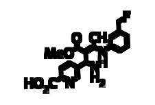 COC(=O)/C(=C(\C)Nc1cccc(CF)c1)C(N)c1ccc(C(=O)O)nc1